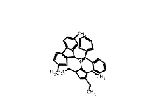 CCC1=CC(CC)[C]([Zr](=[C](c2ccccc2)c2ccccc2)[CH]2c3cc(C)ccc3-c3ccc(C)cc32)=C1CC